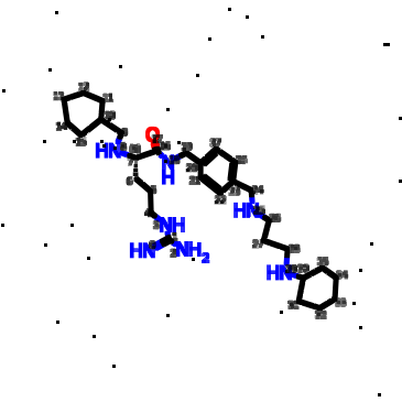 N=C(N)NCCC[C@H](NCC1CCCCC1)C(=O)NCc1ccc(CNCCCNC2CCCCC2)cc1